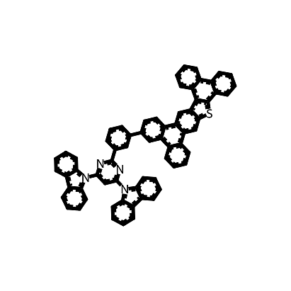 c1cc(-c2ccc3c(c2)c2ccccc2c2cc4sc5c6ccccc6c6ccccc6c5c4cc32)cc(-c2nc(-n3c4ccccc4c4ccccc43)cc(-n3c4ccccc4c4ccccc43)n2)c1